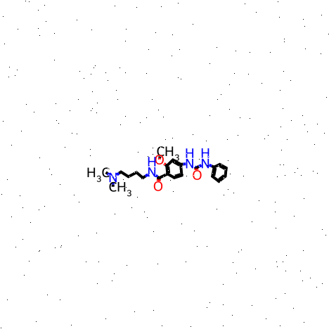 COc1cc(NC(=O)Nc2ccccc2)ccc1C(=O)NCCCCN(C)C